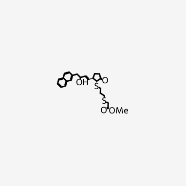 COC(=O)CSCCCS[C@H]1C(=O)CC[C@@H]1C=CC(O)Cc1ccc2ccccc2c1